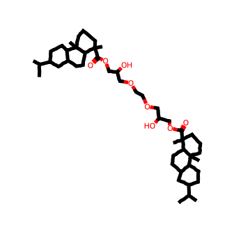 CC(C)C1CCC2C(CCC3C(C)(C(=O)OCC(O)COCCOCC(O)COC(=O)C4(C)CCCC5(C)C6CCC(C(C)C)CC6CCC45)CCCC23C)C1